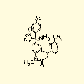 [C-]#[N+]c1ccc([C@@](N)(c2ccc3c(c2)c(-c2cccc(C)n2)cc(=O)n3C)c2cncn2C)cc1